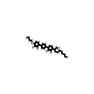 CCCCCC1CCC(c2ccc(-c3ccc(-c4ccc(OCCCC)c(F)c4F)cc3)c(F)c2F)CO1